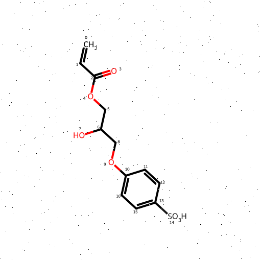 C=CC(=O)OCC(O)COc1ccc(S(=O)(=O)O)cc1